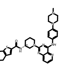 CN1CCN(c2ccc(Nc3nc(N4CCC[C@@H](NC(=O)c5cc6c(s5)CCCC6)C4)nc4cccnc34)cc2)CC1